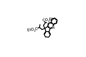 CCOC(=O)C(C)CC1(CC(C)C(=O)OCC)C2=CCCC=C2c2nc3ccccc3cc21